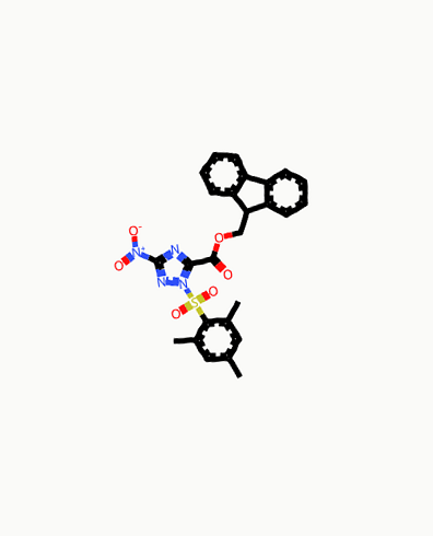 Cc1cc(C)c(S(=O)(=O)n2nc([N+](=O)[O-])nc2C(=O)OCC2c3ccccc3-c3ccccc32)c(C)c1